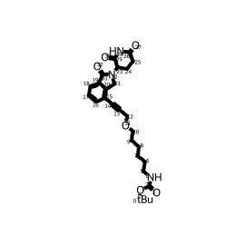 CC(C)(C)OC(=O)NCCCCCCOCC#Cc1cccc2c1CN(C1CCC(=O)NC1=O)C2=O